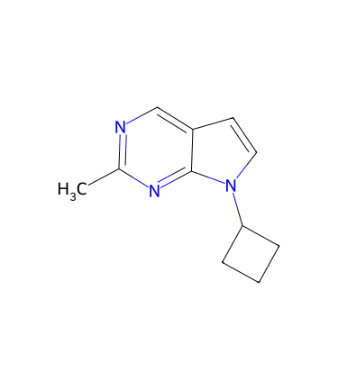 Cc1ncc2ccn(C3CCC3)c2n1